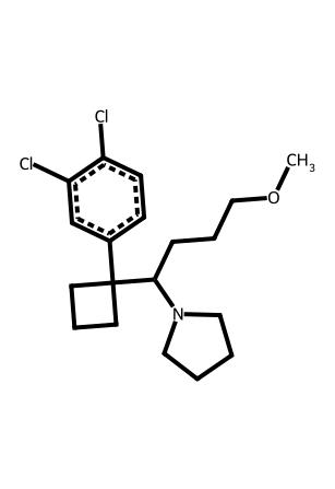 COCCCC(N1CCCC1)C1(c2ccc(Cl)c(Cl)c2)CCC1